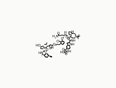 C#Cc1ccc([C@H](C)NC(=O)[C@@H]2C[C@@H](O)CN2C(=O)[C@@H](c2cc(OCCCc3cccc(OC[C@H](CCC(N)=O)NC(=O)[C@@H]4CC[C@@H]5CCN(C(C)=O)C[C@H](NC(=O)c6cc7cc(C(=O)P(=O)(O)O)ccc7[nH]6)C(=O)N54)c3Cl)no2)C(C)C)cc1